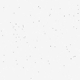 COc1ccc2c3c1O[C@H]1C(OC(=O)[C@@H](OC(C)=O)[C@H](OC(C)=O)C(=O)O)=CC[C@@]4(O)[C@H](CCC[C@]314)C2